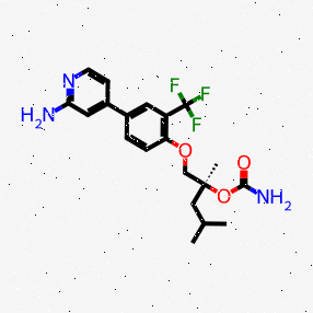 CC(C)C[C@@](C)(COc1ccc(-c2ccnc(N)c2)cc1C(F)(F)F)OC(N)=O